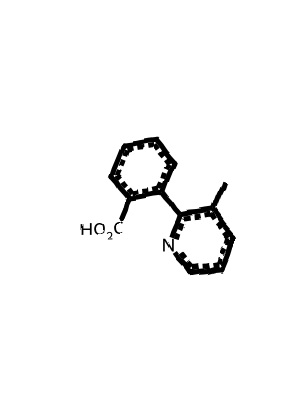 Cc1cccnc1-c1ccccc1C(=O)O